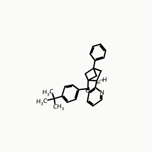 CC(C)(C)c1ccc(C(=O)C23CC(c4ccccc4)(C[C@H]2c2ccccn2)C3)cc1